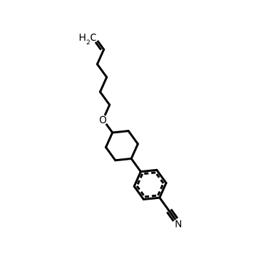 C=CCCCCOC1CCC(c2ccc(C#N)cc2)CC1